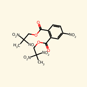 CC(COC(=O)c1ccc([N+](=O)[O-])cc1C(=O)OCC(C)([N+](=O)[O-])[N+](=O)[O-])([N+](=O)[O-])[N+](=O)[O-]